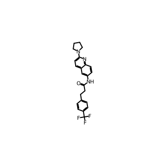 O=C(CCc1ccc(C(F)(F)F)cc1)Nc1ccc2nc(N3CCCC3)ccc2c1